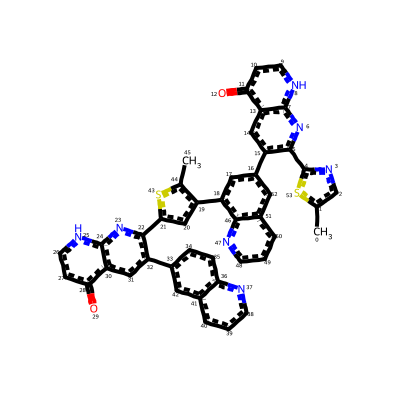 Cc1cnc(-c2nc3[nH]ccc(=O)c3cc2-c2cc(-c3cc(-c4nc5[nH]ccc(=O)c5cc4-c4ccc5ncccc5c4)sc3C)c3ncccc3c2)s1